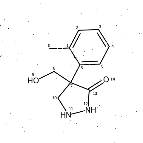 Cc1ccccc1C1(CO)CNNC1=O